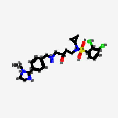 O=C(CCN(C1CC1)S(=O)(=O)c1cccc(Cl)c1Cl)CNCc1ccc(C2=NCCN2C(=O)O)cc1